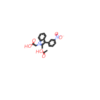 CC(=O)O.Cc1c(-c2cccc([N+](=O)[O-])c2)c2ccccc2n1CC(=O)O